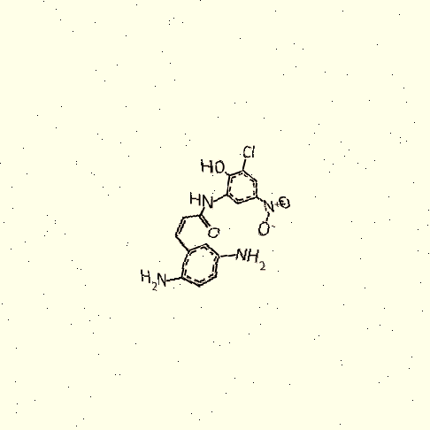 Nc1ccc(N)c(/C=C\C(=O)Nc2cc([N+](=O)[O-])cc(Cl)c2O)c1